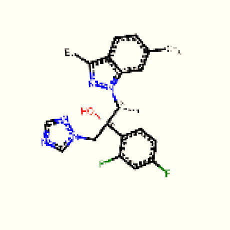 CCc1nn([C@H](C)[C@](O)(Cn2cncn2)c2ccc(F)cc2F)c2cc(C(F)(F)F)ccc12